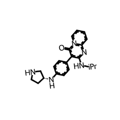 CC(C)Nc1nc2ccccn2c(=O)c1-c1ccc(N[C@@H]2CCNC2)cc1